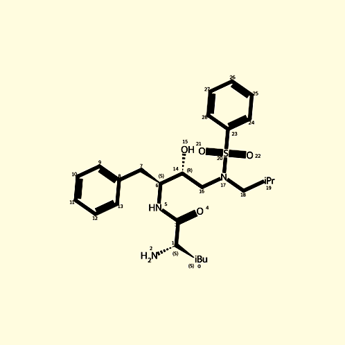 CC[C@H](C)[C@H](N)C(=O)N[C@@H](Cc1ccccc1)[C@H](O)CN(CC(C)C)S(=O)(=O)c1ccccc1